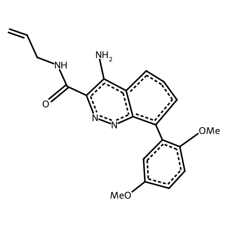 C=CCNC(=O)c1nnc2c(-c3cc(OC)ccc3OC)cccc2c1N